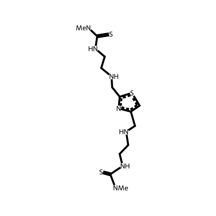 CNC(=S)NCCNCc1csc(CNCCNC(=S)NC)n1